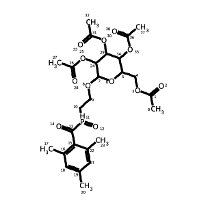 CC(=O)OCC1OC(OCC[PH](=O)C(=O)c2c(C)cc(C)cc2C)C(OC(C)=O)C(OC(C)=O)C1OC(C)=O